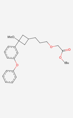 COC1(c2cccc(Oc3ccccc3)c2)CC(CCCOCC(=O)OC(C)(C)C)C1